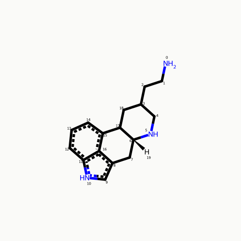 NCCC1CN[C@@H]2Cc3c[nH]c4cccc(c34)C2C1